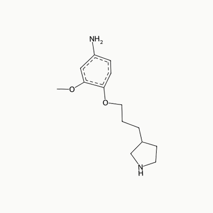 COc1cc(N)ccc1OCCCC1CCNC1